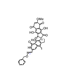 COC1=CC(=O)c2c(O)c3c(c(O)c2C1=O)C(=O)[C@]1(CCc2c1c(O)c1c(=O)[nH]c(/C=N/OCc4ccccc4)cc1c2I)C3=O